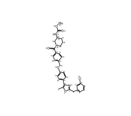 Cc1oc(Cc2cccc(Cl)c2)nc1-c1ccc(OCc2ccc(C(=O)N3CCC[C@H](NC(=O)OC(C)(C)C)C3)cn2)cc1